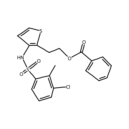 Cc1c(Cl)cccc1S(=O)(=O)Nc1ccsc1CCOC(=O)c1ccccc1